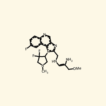 COC/C(N)=C/NCc1nc2cnc3ccc(F)cc3c2n1C1CN(C)CC1(F)F